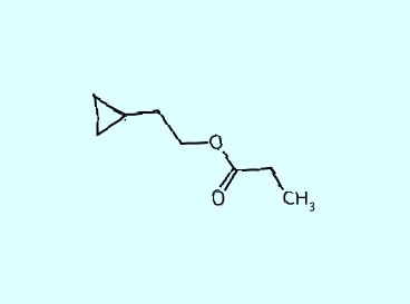 CCC(=O)OCC[C]1CC1